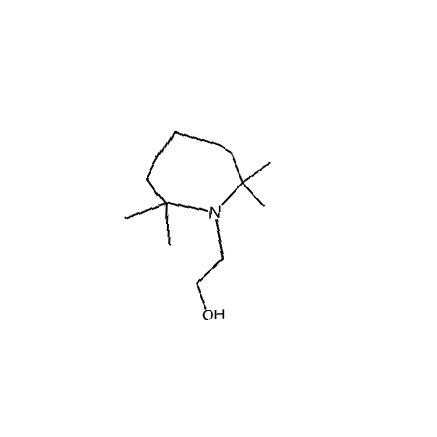 CC1(C)CCCC(C)(C)N1CCO